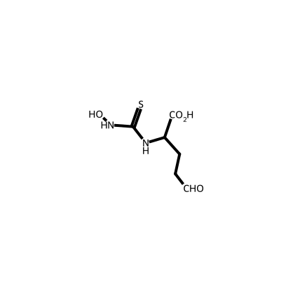 O=CCCC(NC(=S)NO)C(=O)O